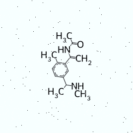 C=C(NC(C)=O)c1cc(C(C)NC)ccc1C